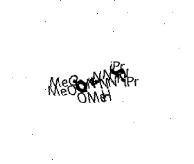 COc1cc(-n2cnc(Nc3nc(C(C)C)c4cnn(C(C)C)c4n3)c2)cc(OC)c1OC